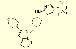 O[C@@H](c1cnc(N[C@H]2CC[C@@H](Oc3cc(N4CCOCC4)cc4nccnc34)CC2)nc1)C(F)(F)F